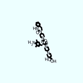 Cc1cc(C[C@@H](OC(=O)N2CCC(N3CCc4ccccc4NC3=O)CC2)C(=O)N2CCC(N3CCC(O)(CO)CC3)CC2)cc(C)c1N